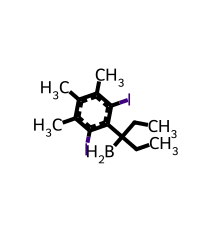 BC(CC)(CC)c1c(I)c(C)c(C)c(C)c1I